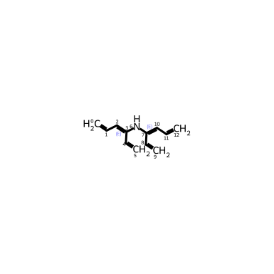 C=C/C=C(\C=C)N/C(C=C)=C/C=C